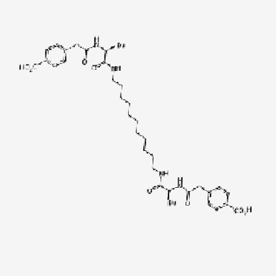 CCC(C)[C@H](NC(=O)Cc1ccc(C(=O)O)cc1)C(=O)NCCCCCCCCCCCNC(=O)[C@@H](NC(=O)Cc1ccc(C(=O)O)cc1)C(C)CC